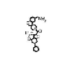 Cc1c(C(=O)N2CCC3(CC2)COc2ccc(CN)cc23)oc2c1C(=O)CC(c1ccccc1)C2